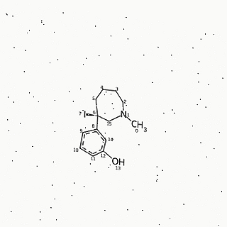 CN1CCCC[C@@](I)(c2cccc(O)c2)C1